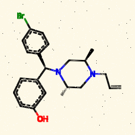 C=CCN1C[C@H](C)N([C@H](c2ccc(Br)cc2)c2cccc(O)c2)C[C@H]1C